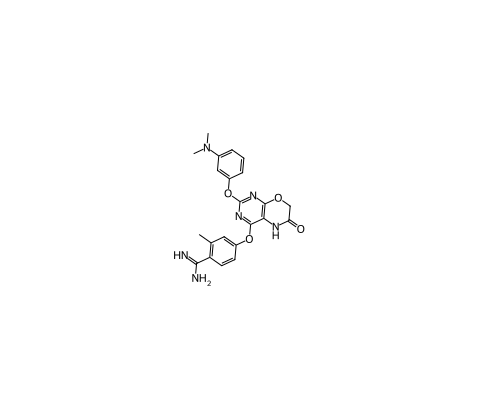 Cc1cc(Oc2nc(Oc3cccc(N(C)C)c3)nc3c2NC(=O)CO3)ccc1C(=N)N